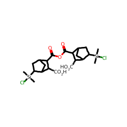 C[Si](C)(Cl)C1CC2CC1C(C(=O)O)C2C(=O)OC(=O)C1C2CC(C1C(=O)O)C([Si](C)(C)Cl)C2